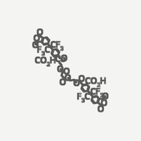 O=C(CC(=O)OC[CH2][Co](=[O])[c]1ccc(C(c2ccc3c(c2)C(=O)OC3=O)(C(F)(F)F)C(F)(F)F)cc1C(=O)O)OCCOC(=O)c1ccc(C(c2ccc3c(c2)C(=O)OC3=O)(C(F)(F)F)C(F)(F)F)cc1C(=O)O